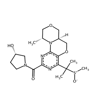 C[C@@H]1COC[C@H]2COc3c(nc(C(=O)N4CC[C@H](O)C4)nc3C(C)(C)[S+](C)[O-])N21